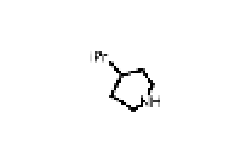 CC(C)[C]1CCNCC1